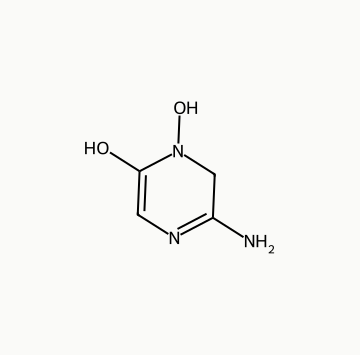 NC1=NC=C(O)N(O)C1